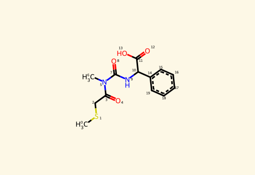 CSCC(=O)N(C)C(=O)NC(C(=O)O)c1ccccc1